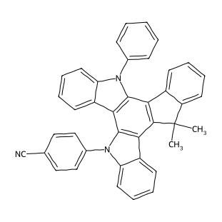 CC1(C)c2ccccc2-c2c1c1c3ccccc3n(-c3ccc(C#N)cc3)c1c1c3ccccc3n(-c3ccccc3)c21